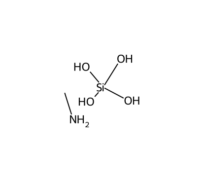 CN.O[Si](O)(O)O